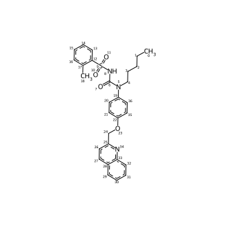 CCCCCN(C(=O)NS(=O)(=O)c1ccccc1C)c1ccc(OCc2ccc3ccccc3n2)cc1